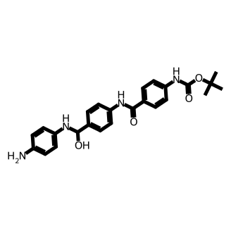 CC(C)(C)OC(=O)Nc1ccc(C(=O)Nc2ccc(C(O)Nc3ccc(N)cc3)cc2)cc1